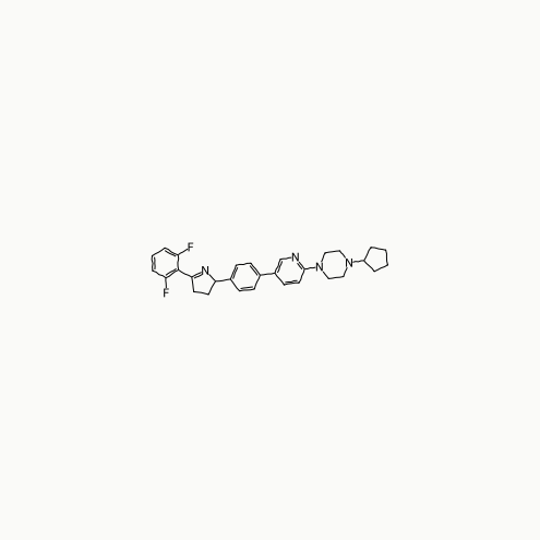 Fc1cccc(F)c1C1=NC(c2ccc(-c3ccc(N4CCN(C5CCCC5)CC4)nc3)cc2)CC1